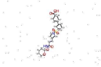 O=C(/C=C/c1ccn(S(=O)(=O)c2cccc(-c3ccc(C(=O)O)cc3)c2)c1)NOC1CCCCO1